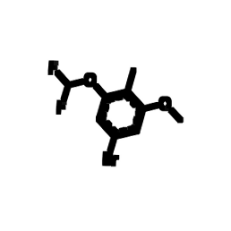 COc1cc(Br)cc(OC(F)F)c1C